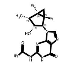 CC[C@]12C[C@@H]1[C@@H](n1cnc3c(=O)[nH]c(NC(=O)C(C)C)nc31)[C@H](O)[C@@H]2C